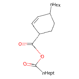 CCCCCCCC(=O)OC(=O)C1C=CC(CCCCCC)CC1